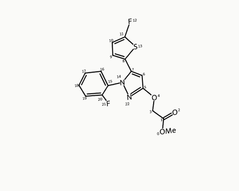 COC(=O)COc1cc(-c2ccc(F)s2)n(-c2ccccc2F)n1